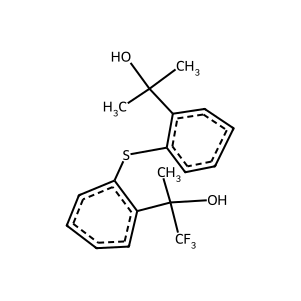 CC(C)(O)c1ccccc1Sc1ccccc1C(C)(O)C(F)(F)F